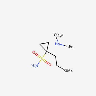 CC(C)(C)NC(=O)O.COCCC1(S(N)(=O)=O)CC1